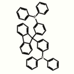 c1ccc(P(c2ccccc2)c2cccc(C3(c4cccc(P(c5ccccc5)c5ccccc5)c4)c4ccccc4-c4ccccc43)c2)cc1